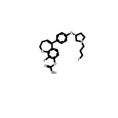 CC(C)(C)C(=O)Oc1ccc2c(c1F)OCCC=C2c1ccc(O[C@H]2CCN(CCCF)C2)cc1